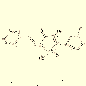 O=C1C(O)=C(c2cccc(Cl)c2)C(=O)C(O)=C1/C=C/c1ccccc1